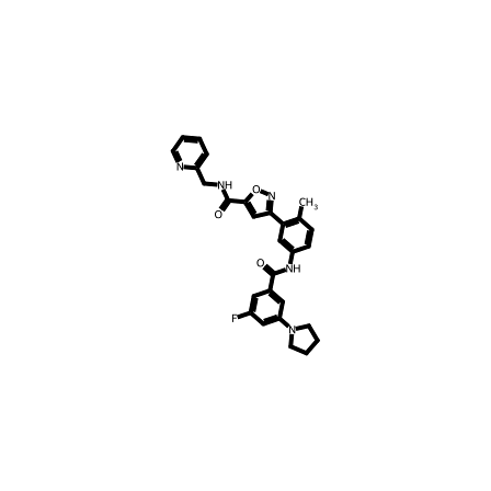 Cc1ccc(NC(=O)c2cc(F)cc(N3CCCC3)c2)cc1-c1cc(C(=O)NCc2ccccn2)on1